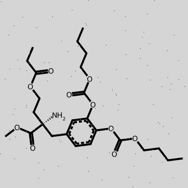 CCCCOC(=O)Oc1ccc(C[C@](N)(CCOC(=O)CC)C(=O)OC)cc1OC(=O)OCCCC